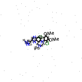 COc1cc(OC)c(Cl)c(N2CCN(C(C)C)Cc3c2ccc2ncc(-c4cnn(C)c4)nc32)c1Cl